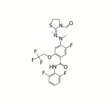 CN(/N=C1/SCCN1C=O)c1cc(OCC(F)(F)F)c(C(=O)Nc2c(F)cccc2F)cc1F